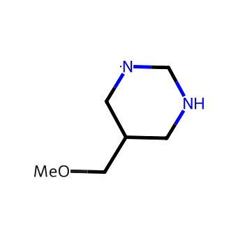 COCC1C[N]CNC1